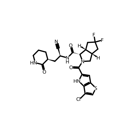 N#C[C@H](C[C@@H]1CCCNC1=O)NC(=O)[C@@H]1[C@@H]2CC(F)(F)C[C@@H]2CN1C(=O)c1cc2scc(Cl)c2[nH]1